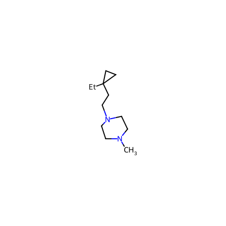 CCC1(CCN2CCN(C)CC2)CC1